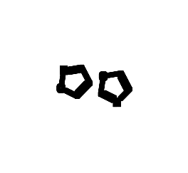 c1cnoc1.c1cocn1